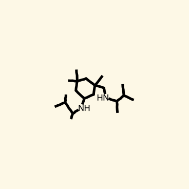 CC(C)C(C)NCC1(C)CC(NC(C)C(C)C)CC(C)(C)C1